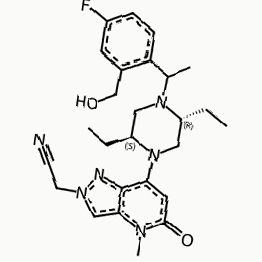 CC[C@H]1CN(C(C)c2ccc(F)cc2CO)[C@H](CC)CN1c1cc(=O)n(C)c2cn(CC#N)nc12